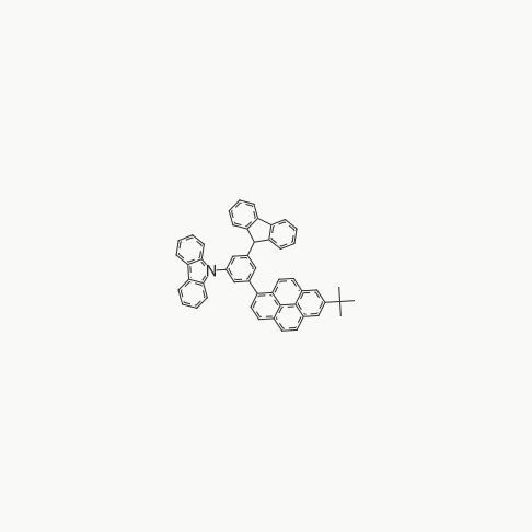 CC(C)(C)c1cc2ccc3ccc(-c4cc(C5c6ccccc6-c6ccccc65)cc(-n5c6ccccc6c6ccccc65)c4)c4ccc(c1)c2c34